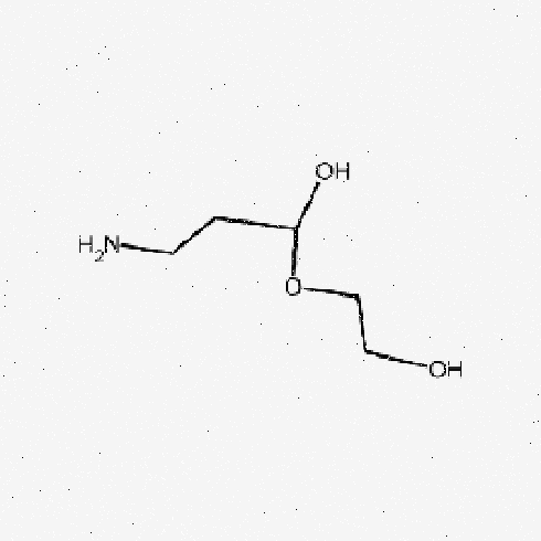 NCCC(O)OCCO